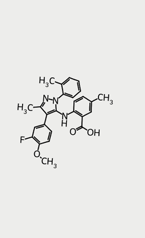 COc1ccc(-c2c(C)nn(-c3ccccc3C)c2Nc2ccc(C)cc2C(=O)O)cc1F